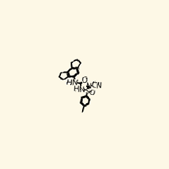 Cc1ccc(S(=O)(=NC#N)NC(=O)Nc2cc3c(c4c2CCC4)CCC3)cc1